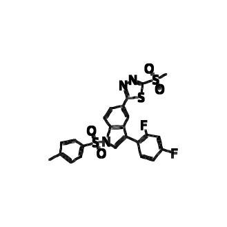 Cc1ccc(S(=O)(=O)n2cc(-c3ccc(F)cc3F)c3cc(-c4nnc(S(C)(=O)=O)s4)ccc32)cc1